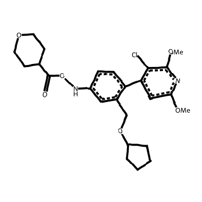 COc1cc(-c2ccc(NOC(=O)C3CCOCC3)cc2COC2CCCC2)c(Cl)c(OC)n1